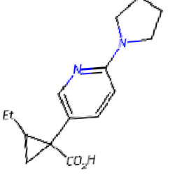 CCC1CC1(C(=O)O)c1ccc(N2CCCC2)nc1